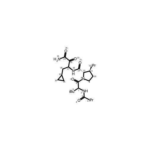 CCC(C)C(NC(=O)C(C)C)C(=O)N1CC[C@H](C(C)C)[C@H]1C(=O)NC(CC1CC1)C(=O)C(N)=O